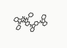 c1ccc(-n2c3cc(-n4c5ccccc5c5cc(-n6c7ccccc7c7ccccc76)ccc54)ccc3n3c2nc2c4ccccc4n(-c4ccccc4)c23)cc1